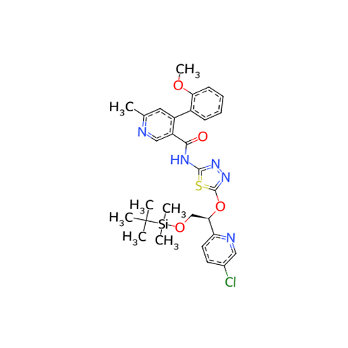 COc1ccccc1-c1cc(C)ncc1C(=O)Nc1nnc(O[C@H](CO[Si](C)(C)C(C)(C)C)c2ccc(Cl)cn2)s1